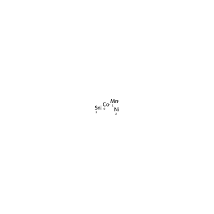 [Co].[Mn].[Ni].[Sn]